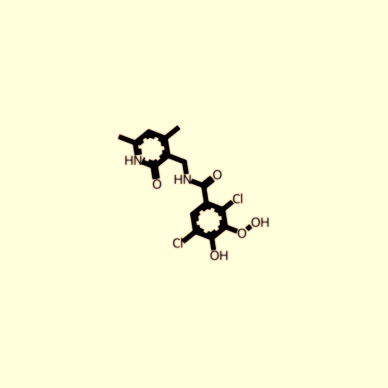 Cc1cc(C)c(CNC(=O)c2cc(Cl)c(O)c(OO)c2Cl)c(=O)[nH]1